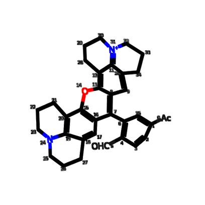 CC(=O)c1ccc(C=O)c(C2=c3cc4c5c(c3Oc3c2cc2c6c3CCCN6CCC2)CCC[N+]=5CCC4)c1